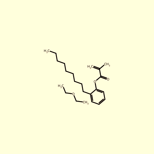 C=C(C)C(=O)Oc1ccccc1CCCCCCCCC.CCOCC